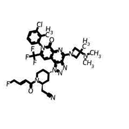 Cc1c(Cl)cccc1-n1c(C(F)(F)F)cc2c(nc(N3CC(C)(N(C)C)C3)c3nnn([C@H]4CCN(C(=O)/C=C/CF)[C@H](CC#N)C4)c32)c1=O